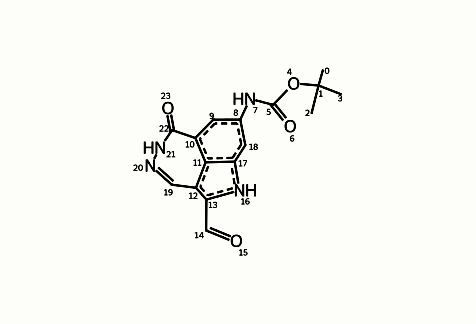 CC(C)(C)OC(=O)Nc1cc2c3c(c(C=O)[nH]c3c1)C=NNC2=O